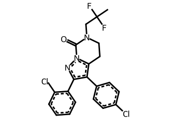 CC(F)(F)CN1CCc2c(-c3ccc(Cl)cc3)c(-c3ccccc3Cl)nn2C1=O